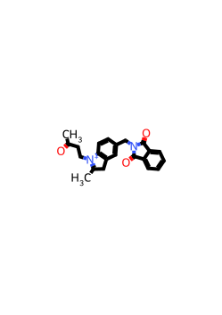 CC(=O)CC[N+]1=C(C)Cc2cc(CN3C(=O)c4ccccc4C3=O)ccc21